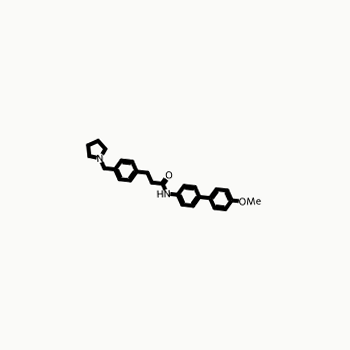 COc1ccc(-c2ccc(NC(=O)CCc3ccc(CN4CCCC4)cc3)cc2)cc1